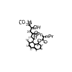 CCCC(CCC)C(=O)OC1CCC=C2C=CC(C)C(CCC(O)CC(O)CC(=O)O)C21